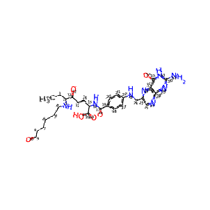 CCC(NCCCCCC=O)C(=O)CCC(NC(=O)c1ccc(NCc2cnc3nc(N)[nH]c(=O)c3n2)cc1)C(=O)O